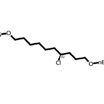 CCCCOCCC[C@@H](Cl)CCCCCCOS